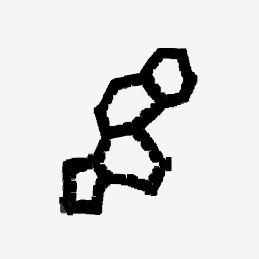 c1ccc2c(c1)ccc1c2nnc2cncn21